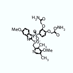 COc1ccc2c(c1)nc([S+]([O-])Cc1ncc(C)c(OC)c1C)n2S(=O)(=O)c1ccc(OCC(=O)ON)c(OCC(N)=O)c1